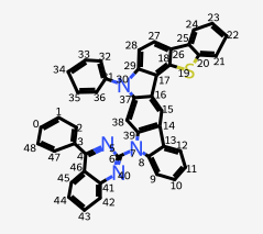 c1ccc(-c2nc(-n3c4ccccc4c4cc5c6c7sc8ccccc8c7ccc6n(-c6ccccc6)c5cc43)nc3ccccc23)cc1